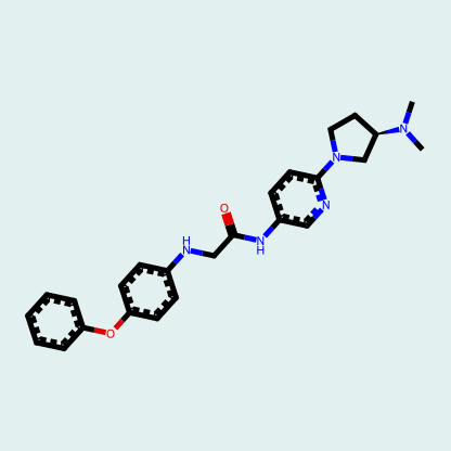 CN(C)[C@@H]1CCN(c2ccc(NC(=O)CNc3ccc(Oc4ccccc4)cc3)cn2)C1